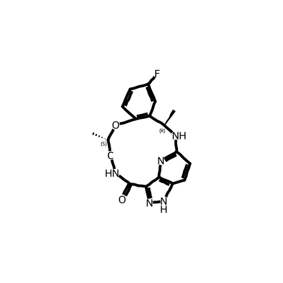 C[C@H]1CNC(=O)c2n[nH]c3ccc(nc23)N[C@H](C)c2cc(F)ccc2O1